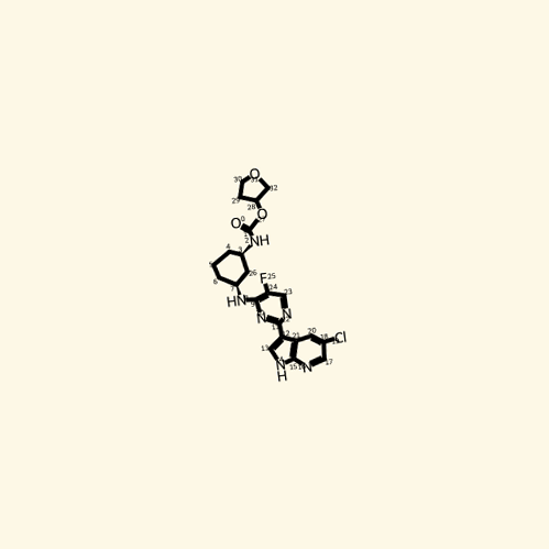 O=C(N[C@@H]1CCC[C@H](Nc2nc(-c3c[nH]c4ncc(Cl)cc34)ncc2F)C1)OC1CCOC1